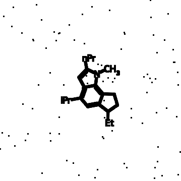 CCCc1cc2c(C(C)C)cc3c(c2n1C)CCC3CC